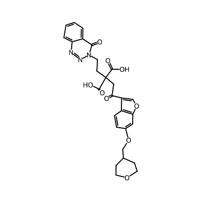 O=C(CC(CCn1nnc2ccccc2c1=O)(C(=O)O)C(=O)O)c1coc2cc(OCC3CCOCC3)ccc12